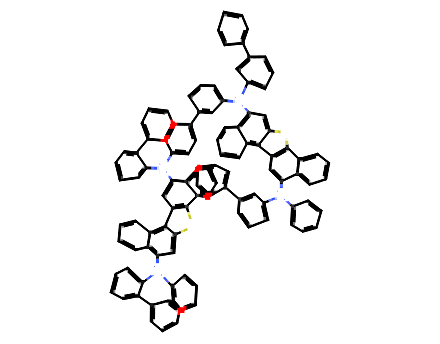 c1ccc(-c2cccc(N(c3ccccc3)c3cc4c(sc5cc(N(c6cccc(-c7ccccc7)c6)c6cccc(-c7ccc(N(c8ccccc8-c8ccccc8)c8cc9c(sc%10cc(N(c%11ccccc%11)c%11ccccc%11-c%11ccccc%11)c%11ccccc%11c%109)c9ccccc89)cc7)c6)c6ccccc6c54)c4ccccc34)c2)cc1